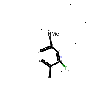 C=C(/C=C(/F)C(=C)C)NC